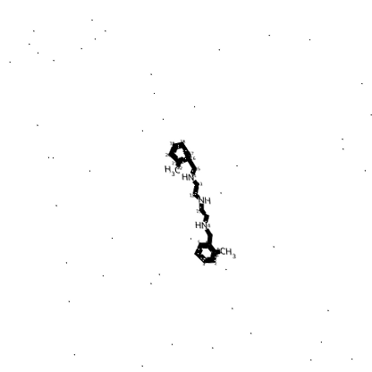 Cc1ccccc1CNCCNCCNCc1ccccc1C